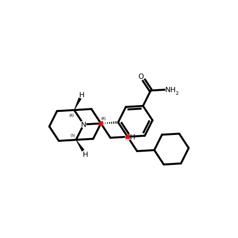 NC(=O)c1cccc([C@H]2C[C@H]3CCC[C@@H](C2)N3CCNCC2CCCCC2)c1